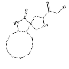 O=C(CCl)C1CC2(CN1)C(=O)NC1CCCCCCCCC12